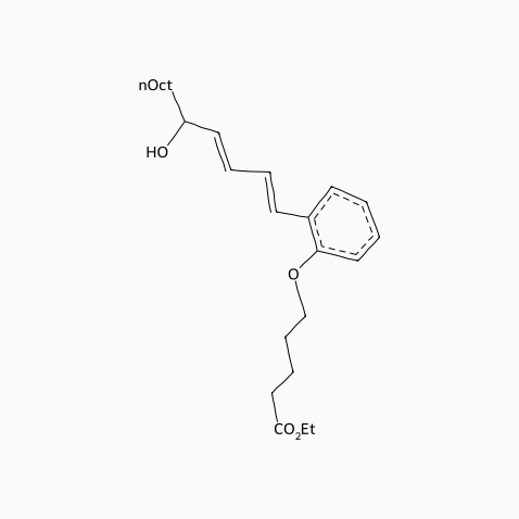 CCCCCCCCC(O)C=CC=Cc1ccccc1OCCCCC(=O)OCC